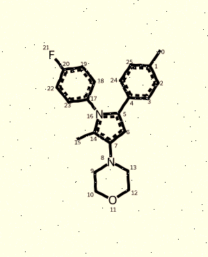 Cc1ccc(-c2cc(N3CCOCC3)c(C)n2-c2ccc(F)cc2)cc1